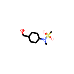 CN(C1CCC(CO)CC1)S(C)(=O)=O